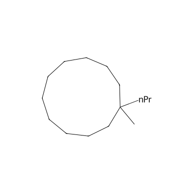 [CH2]CCC1(C)CCCCCCCCCC1